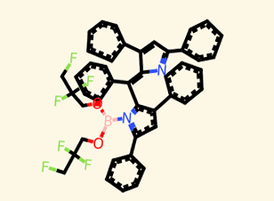 FCC(F)(F)COB(OCC(F)(F)CF)n1c(-c2ccccc2)cc(-c2ccccc2)c1/C(=C1\N=C(c2ccccc2)C=C1c1ccccc1)c1ccccc1